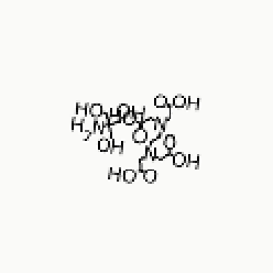 NC(CO)(CO)CO.O=C(O)CN(CCN(CC(=O)O)CC(=O)O)CC(=O)O